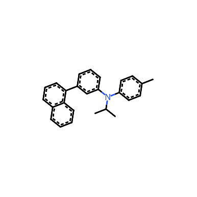 Cc1ccc(N(c2cccc(-c3cccc4ccccc34)c2)C(C)C)cc1